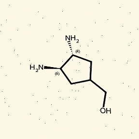 N[C@@H]1CC(CO)C[C@H]1N